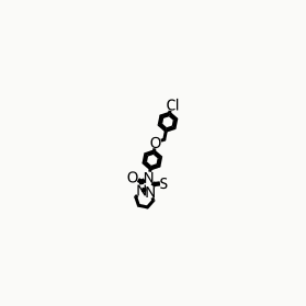 O=c1n(-c2ccc(OCc3ccc(Cl)cc3)cc2)c(=S)n2n1CCCC2